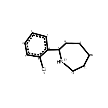 Clc1ccccc1C1CCCCCN1